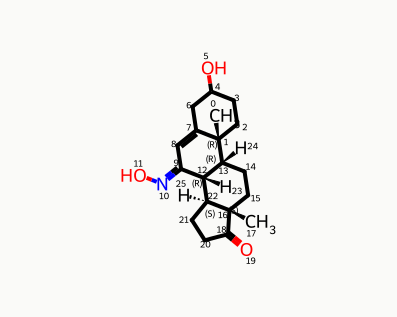 C[C@]12CCC(O)CC1=CC(=NO)[C@@H]1[C@H]2CC[C@]2(C)C(=O)CC[C@@H]12